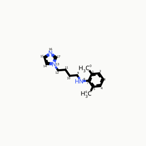 Cc1cccc(C)c1NCCCCn1ccnc1